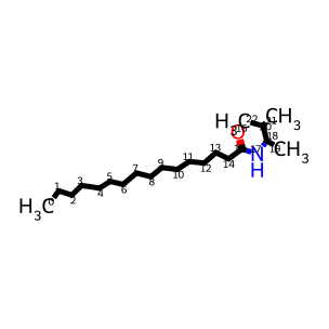 CCCCCCCCCCCCCCCC(=O)NC(C)C(C)C